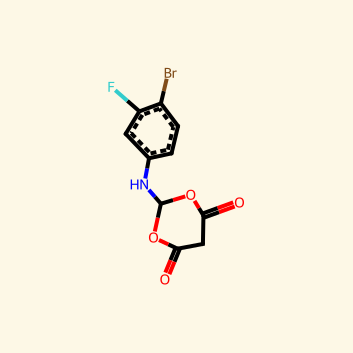 O=C1CC(=O)OC(Nc2ccc(Br)c(F)c2)O1